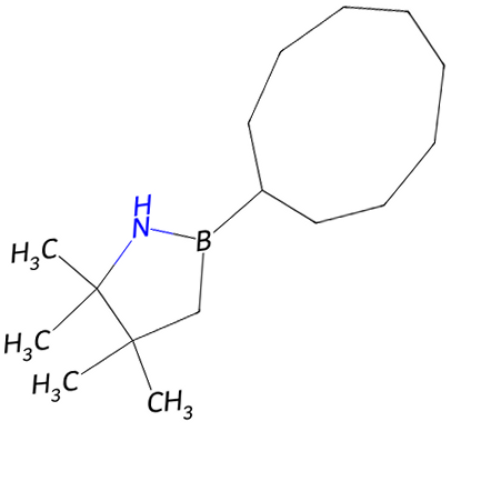 CC1(C)CB(C2CCCCCCCC2)NC1(C)C